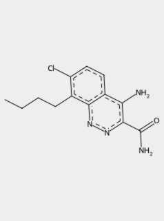 CCCCc1c(Cl)ccc2c(N)c(C(N)=O)nnc12